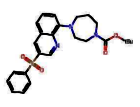 CC(C)(C)OC(=O)N1CCCN(c2cccc3cc(S(=O)(=O)c4ccccc4)cnc23)CC1